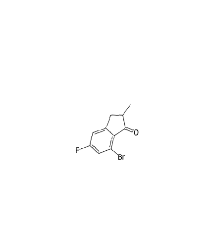 CC1Cc2cc(F)cc(Br)c2C1=O